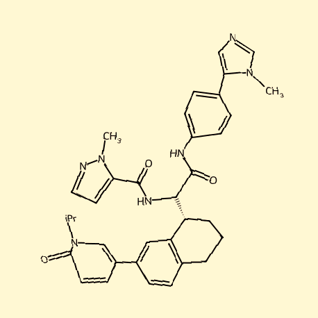 CC(C)n1cc(-c2ccc3c(c2)[C@H](C(NC(=O)c2ccnn2C)C(=O)Nc2ccc(-c4cncn4C)cc2)CCC3)ccc1=O